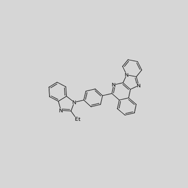 CCc1nc2ccccc2n1-c1ccc(-c2nc3c(nc4ccccn43)c3ccccc23)cc1